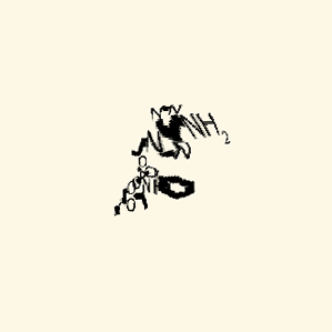 CC[C@@H]1COC(C(C)NP(=O)(COC(C)Cn2cnc3c(N)ncnc32)Oc2ccccc2)O1